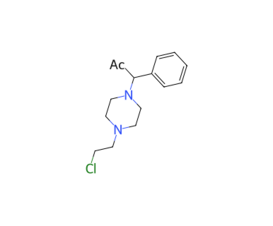 CC(=O)C(c1ccccc1)N1CCN(CCCl)CC1